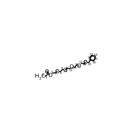 C=CC(=O)OCCOCCOCCOCCOCCOCc1ccccc1